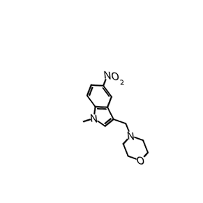 Cn1cc(CN2CCOCC2)c2cc([N+](=O)[O-])ccc21